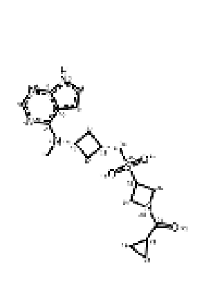 CN(c1ncnc2[nH]ccc12)[C@H]1C[C@@H](CS(=O)(=O)C2CN(C(=O)C3CC3)C2)C1